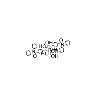 O=C(c1ccc(C2C(O)[C@@]3(O)C(c4ccc(C(=O)N(c5ccccc5)c5ccccc5)cc4)[C@@](O)([C@H](O)CO)[C@@]23O)cc1)N(c1ccccc1)c1ccccc1